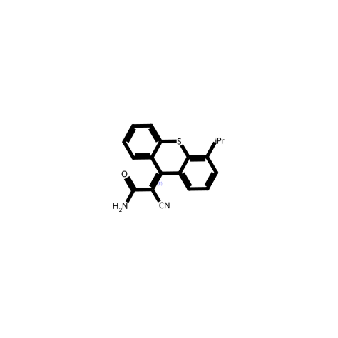 CC(C)c1cccc2c1Sc1ccccc1/C2=C(/C#N)C(N)=O